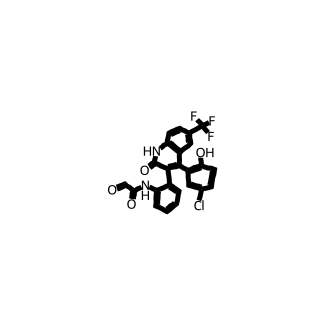 O=CC(=O)Nc1ccccc1-c1c(-c2cc(Cl)ccc2O)c2cc(C(F)(F)F)ccc2[nH]c1=O